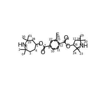 CC1(C)CCC(OC(=O)c2ccc(C(=O)OC3CC(C)(C)NC3(C)C)c(F)c2)CC(C)(C)N1